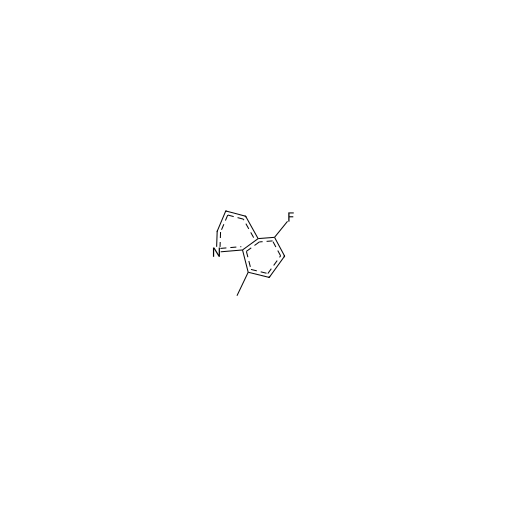 Cc1ccc(F)c2cccnc12